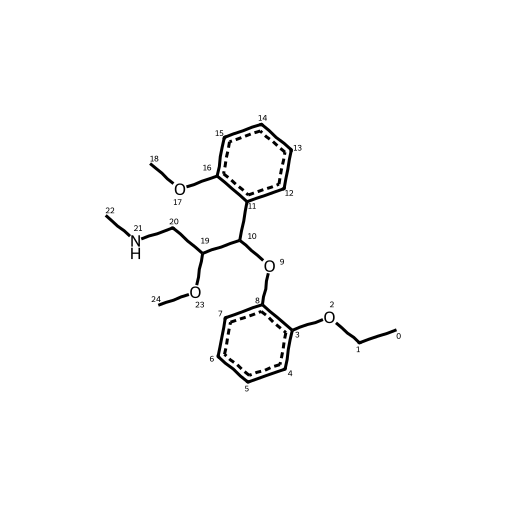 CCOc1ccccc1OC(c1ccccc1OC)C(CNC)OC